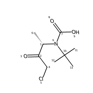 C[C@@H](C(=O)CCl)N(C(=O)O)C(C)(C)C